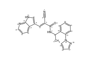 CC(NC(=O)/C(C#N)=C/c1c[nH]c2ncccc12)c1ccccc1-n1cccn1